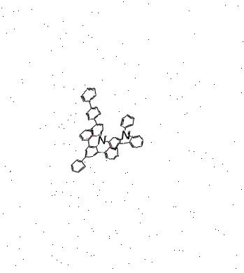 c1ccc(-c2ccc(-c3ccc(N(c4ccc5c6ccccc6n(-c6ccccc6)c5c4)c4c(-c5ccccc5)cc(-c5ccccc5)cc4-c4ccccc4)cc3)cc2)cc1